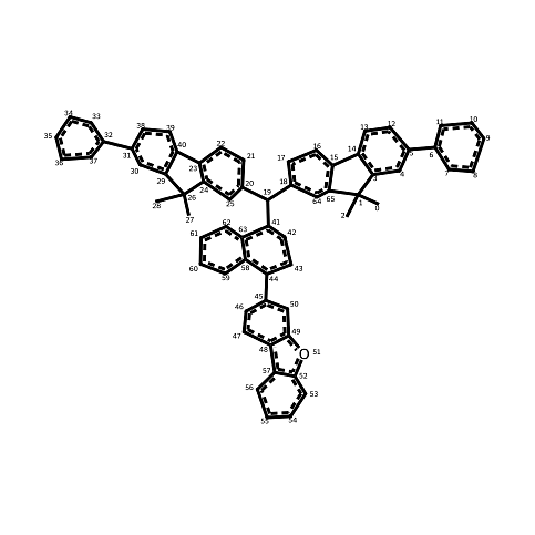 CC1(C)c2cc(-c3ccccc3)ccc2-c2ccc(C(c3ccc4c(c3)C(C)(C)c3cc(-c5ccccc5)ccc3-4)c3ccc(-c4ccc5c(c4)oc4ccccc45)c4ccccc34)cc21